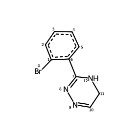 Brc1ccccc1C1=NN=CCN1